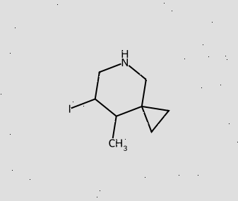 CC1C(I)CNCC12CC2